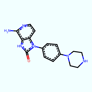 Nc1nccc2c1[nH]c(=O)n2-c1ccc(N2CCNCC2)cc1